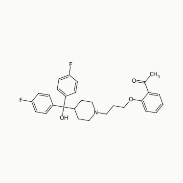 CC(=O)c1ccccc1OCCCN1CCC(C(O)(c2ccc(F)cc2)c2ccc(F)cc2)CC1